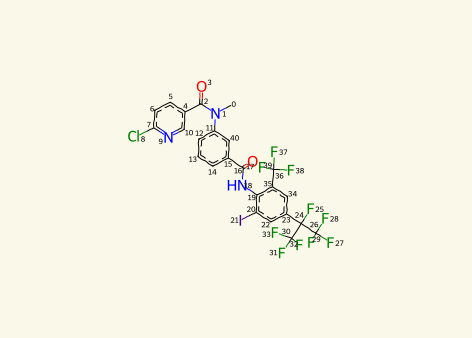 CN(C(=O)c1ccc(Cl)nc1)c1cccc(C(=O)Nc2c(I)cc(C(F)(C(F)(F)F)C(F)(F)F)cc2C(F)(F)F)c1